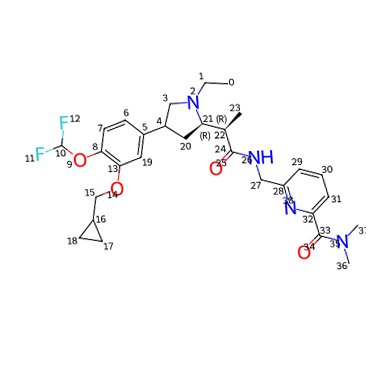 CCN1CC(c2ccc(OC(F)F)c(OCC3CC3)c2)C[C@@H]1[C@@H](C)C(=O)NCc1cccc(C(=O)N(C)C)n1